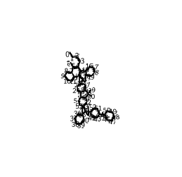 C=C/C=C\c1c(C)c2ccccc2c2c1c1ccccc1n2-c1ccc2c(c1)C(C)(C)c1cc(N(c3ccccc3)c3ccc(-c4ccccc4)cc3)ccc1-2